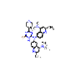 Cc1cc(N(C)C)c2cc(N(c3ccc4nc(C)cc(N(C)C)c4c3)c3nc(C4CCNCC4)nc(=S)[nH]3)ccc2n1